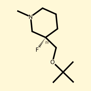 CN1CCC[C@@](F)(COC(C)(C)C)C1